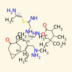 C=CC1=C(CN(C)N)[C@@H](/C(=C/NOC(=O)C(C)C(C)C(C)(C)C(=O)O)NCC(=N)S/C=C(\C)N)C(C)C2(C)C[C@@H]1C1CC1CC2=O